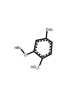 CCCCOc1cc(OC(C)=O)ccc1C(=O)O